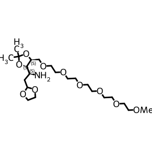 COCCOCCOCCOCCOCCOC[C@@H]1OC(C)(C)O[C@H]1[C@@H](N)CC1OCCO1